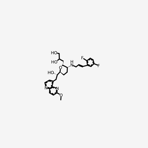 COc1ccc2nccc(C[C@H](O)[C@@H]3CC[C@@H](NC/C=C/c4cc(F)ccc4F)[C@@H](CC(O)CO)O3)c2n1